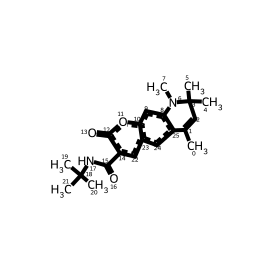 CC1=CC(C)(C)N(C)c2cc3oc(=O)c(C(=O)NC(C)(C)C)cc3cc21